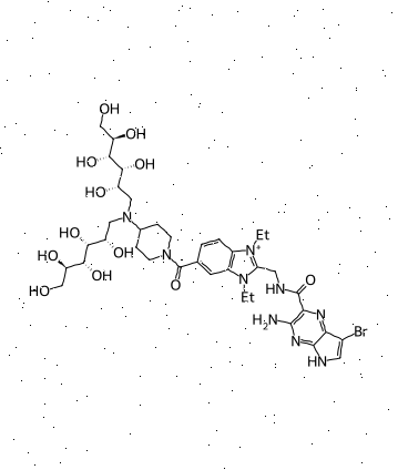 CCn1c(CNC(=O)c2nc3c(Br)c[nH]c3nc2N)[n+](CC)c2ccc(C(=O)N3CCC(N(C[C@H](O)[C@@H](O)[C@H](O)[C@H](O)CO)C[C@H](O)[C@@H](O)[C@H](O)[C@H](O)CO)CC3)cc21